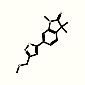 COCc1cc(-c2ccc3c(c2)N(C)C(=O)C3(C)C)on1